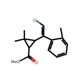 COC(=O)C1C(C(=CCl)c2ccccc2C)C1(C)C